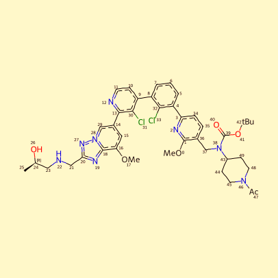 COc1nc(-c2cccc(-c3ccnc(-c4cc(OC)c5nc(CNC[C@@H](C)O)nn5c4)c3Cl)c2Cl)ccc1CN(C(=O)OC(C)(C)C)C1CCN(C(C)=O)CC1